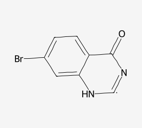 O=c1n[c][nH]c2cc(Br)ccc12